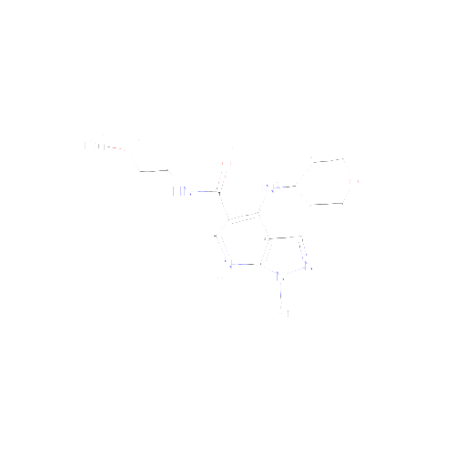 CCn1ncc2c(NC3CCOCC3)c(C(=O)NCCOC(C)(C)C)cnc21